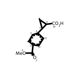 COC(=O)c1ccc(C2CC2C(=O)O)cc1